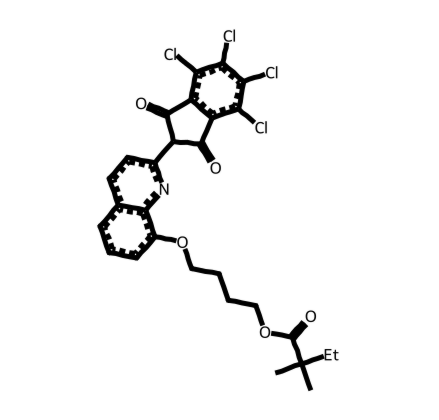 CCC(C)(C)C(=O)OCCCCOc1cccc2ccc(C3C(=O)c4c(Cl)c(Cl)c(Cl)c(Cl)c4C3=O)nc12